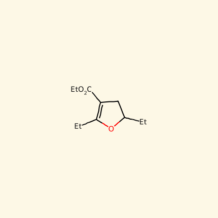 CCOC(=O)C1=C(CC)OC(CC)C1